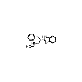 OCNCC(Cc1ccccc1)c1nc2ccccc2[nH]1